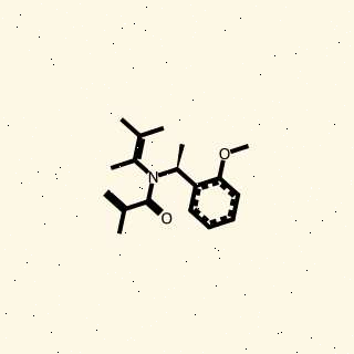 C=C(C)C(=O)N(C(C)=C(C)C)[C@@H](C)c1ccccc1OC